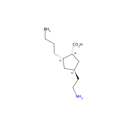 BCCC[C@H]1C[C@H](CCN)C[C@H]1C(=O)O